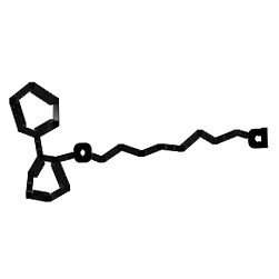 ClCCCCCCCCOc1ccccc1-c1ccccc1